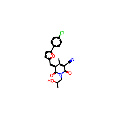 CC1=C(C#N)C(=O)N(CC(C)O)C(=O)/C1=C/c1ccc(-c2ccc(Cl)cc2)o1